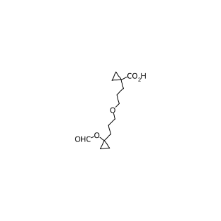 O=COC1(CCCOCCCC2(C(=O)O)CC2)CC1